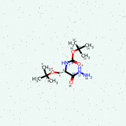 CC(C)(C)OC[C@H](NC(=O)OC(C)(C)C)C(=O)NN